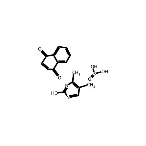 Cc1cnc(O)nc1C.O=C1C=CC(=O)c2ccccc21.O=S(O)O